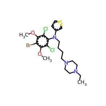 CCN1CCN(CCCCN(c2ccsc2)c2c(Cl)c(OC)c(Br)c(OC)c2Cl)CC1